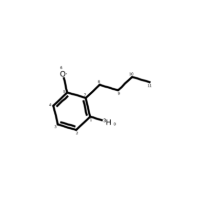 [3H]c1cccc([O])c1CCCC